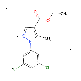 CCOC(=O)c1cnn(-c2cc(Cl)cc(Cl)c2)c1C